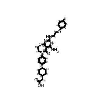 Nc1nc(NCCOc2ccc(F)cc2)nc2c1C(=O)N(c1ccc([C@H]3CC[C@H](CC(=O)O)CC3)cc1)CCO2